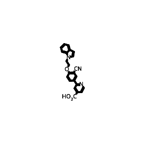 N#Cc1cc(-c2cc(C(=O)O)ccn2)ccc1OCCn1ccc2ccccc21